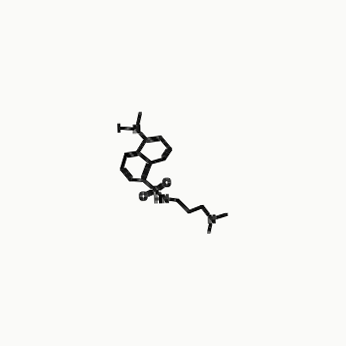 CN(C)CCCNS(=O)(=O)c1cccc2c(N(C)I)cccc12